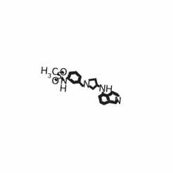 CS(=O)(=O)Nc1cccc(CN2CCC(Nc3cccc4cnccc34)C2)c1